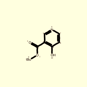 CC(C)(C)OC(=O)c1cnccc1O